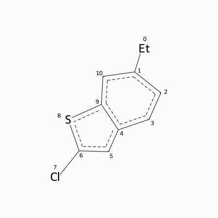 CCc1ccc2cc(Cl)sc2c1